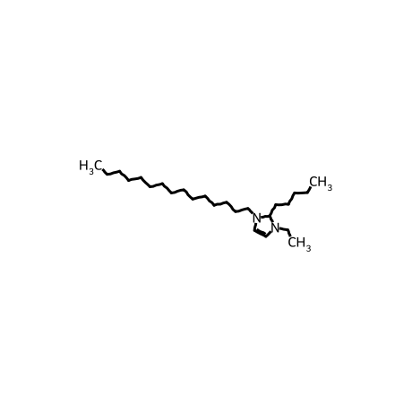 CCCCCCCCCCCCCCCN1C=CN(CC)C1CCCCC